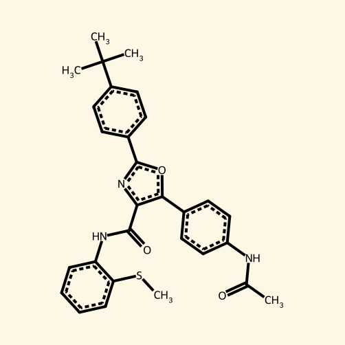 CSc1ccccc1NC(=O)c1nc(-c2ccc(C(C)(C)C)cc2)oc1-c1ccc(NC(C)=O)cc1